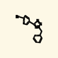 Brc1ccc(-c2nnn(Cc3ccccc3)n2)cc1